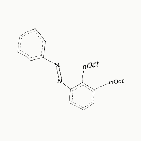 CCCCCCCCc1cccc(N=Nc2ccccc2)c1CCCCCCCC